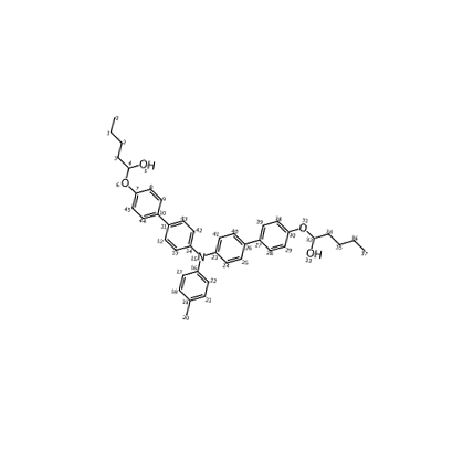 CCCCC(O)Oc1ccc(-c2ccc(N(c3ccc(C)cc3)c3ccc(-c4ccc(OC(O)CCCC)cc4)cc3)cc2)cc1